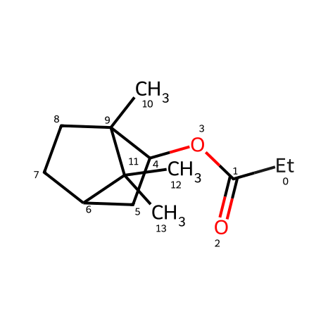 [CH2]CC(=O)OC1CC2CCC1(C)C2(C)C